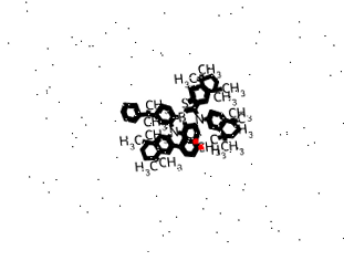 Cc1cc2c3c(c1)N(c1ccc4c(c1)C(C)(C)CCC4(C)C)c1c(sc4cc5c(cc14)C(C)(C)CCC5(C)C)B3c1ccc(C(C)(C)c3ccccc3)cc1N2c1cc2c(cc1-c1ccccc1)C(C)(C)CCC2(C)C